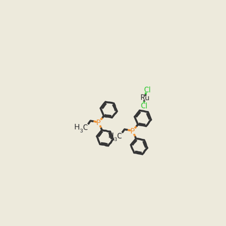 CCP(c1ccccc1)c1ccccc1.CCP(c1ccccc1)c1ccccc1.[Cl][Ru][Cl]